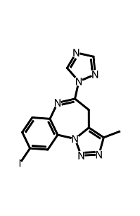 Cc1nnn2c1CC(n1cncn1)=Nc1ccc(I)cc1-2